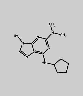 CC(C)n1cnc2c(NC3CCCC3)nc(N(C)C)nc21